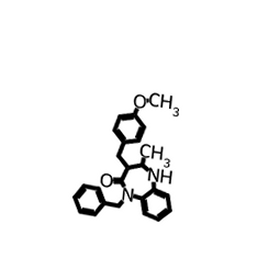 COc1ccc(CC2C(=O)N(Cc3ccccc3)c3ccccc3NC2C)cc1